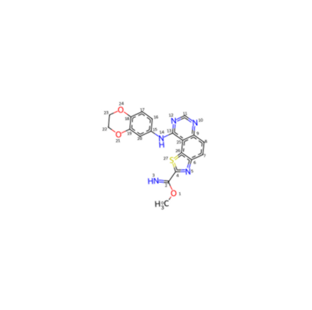 COC(=N)c1nc2ccc3ncnc(Nc4ccc5c(c4)OCCO5)c3c2s1